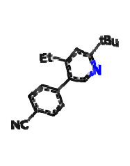 CCc1cc(C(C)(C)C)ncc1-c1ccc(C#N)cc1